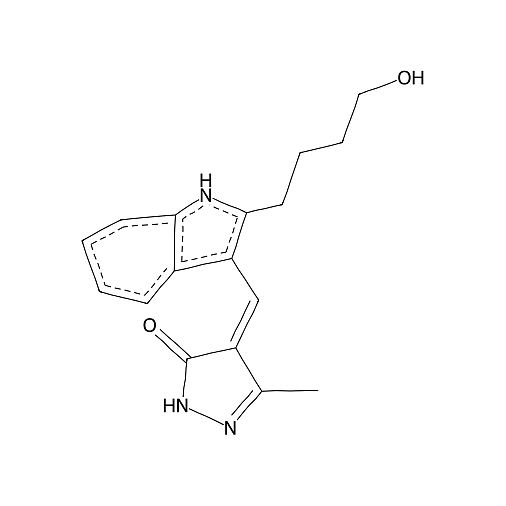 CC1=NNC(=O)C1=Cc1c(CCCCO)[nH]c2ccccc12